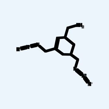 [N-]=[N+]=NCC1=CC(CN)CC(CN=[N+]=[N-])C1